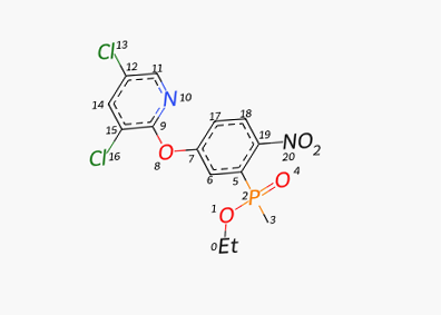 CCOP(C)(=O)c1cc(Oc2ncc(Cl)cc2Cl)ccc1[N+](=O)[O-]